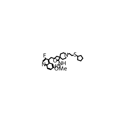 COc1ccc2ncc(F)c(CCCC3(C(=O)NO)CCN(CCSC4CCCC4)CC3)c2c1